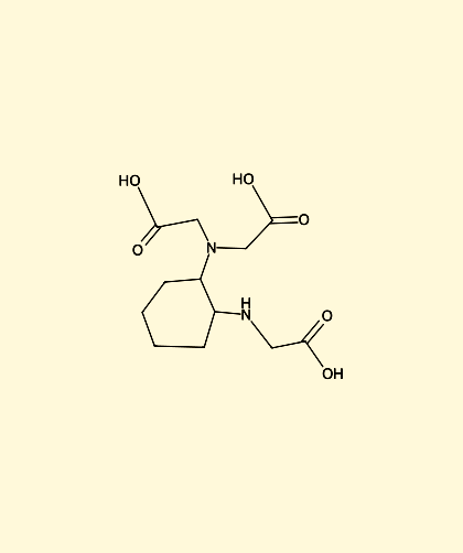 O=C(O)CNC1CCCCC1N(CC(=O)O)CC(=O)O